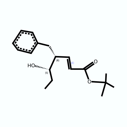 CC[C@H](O)[C@@H](/C=C/C(=O)OC(C)(C)C)Cc1ccccc1